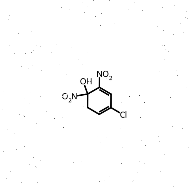 O=[N+]([O-])C1=CC(Cl)=CCC1(O)[N+](=O)[O-]